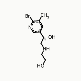 Cc1cc([C@H](O)CNCCO)cnc1Br